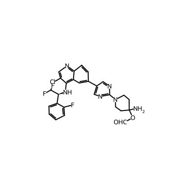 NC1(OC=O)CCN(c2ncc(-c3ccc4ncc(Cl)c(N[C@@H](c5ccccc5F)C(F)F)c4c3)cn2)CC1